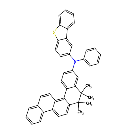 CC1(C)c2cc(N(c3ccccc3)c3ccc4sc5ccccc5c4c3)ccc2-c2c(ccc3c2ccc2ccccc23)C1(C)C